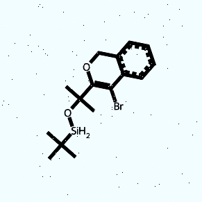 CC(C)(C)[SiH2]OC(C)(C)C1=C(Br)c2ccccc2CO1